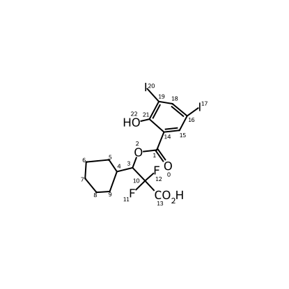 O=C(OC(C1CCCCC1)C(F)(F)C(=O)O)c1cc(I)cc(I)c1O